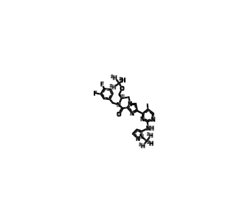 [2H]C([2H])([2H])OC[C@H]1Cn2cc(-c3nc(Nc4ccnn4C([2H])([2H])[2H])ncc3C)nc2C(=O)N1Cc1ccc(F)c(F)c1